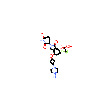 O=C(O)C(F)(F)F.O=C1CCC(N2Cc3c(OC4CC(N5CCNCC5)C4)cccc3C2=O)C(=O)N1